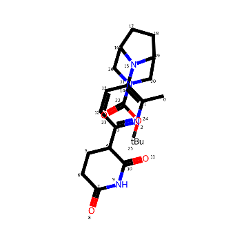 Cc1nc(C2CCC(=O)NC2=O)ccc1N1C2CCC1CN(C(=O)OC(C)(C)C)C2